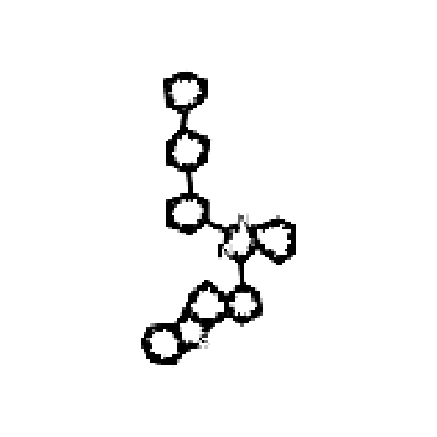 c1ccc(-c2ccc(-c3cccc(-c4nc(-c5cccc6c5ccc5c7ccccc7sc65)c5ccccc5n4)c3)cc2)cc1